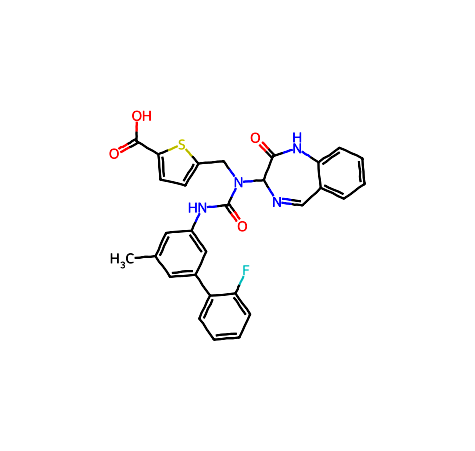 Cc1cc(NC(=O)N(Cc2ccc(C(=O)O)s2)C2N=Cc3ccccc3NC2=O)cc(-c2ccccc2F)c1